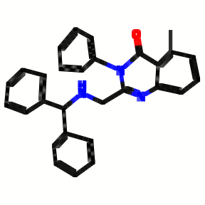 Cc1cccc2nc(CNC(c3ccccc3)c3ccccc3)n(-c3ccccc3)c(=O)c12